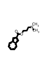 CN(C)CCCOC(=O)c1cc2cccccc-2c1